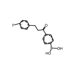 O=C(CCc1ccc(F)cc1)c1ccc(B(O)O)cc1